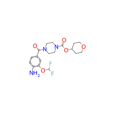 Nc1ccc(C(=O)N2CCN(C(=O)OC3CCOCC3)CC2)cc1OC(F)F